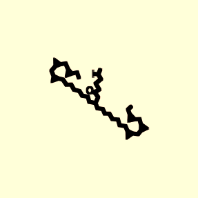 CCC1CC1CC1CC1CC1CC1CCCCCCCCC(CCCCCCCCC1CC1CC1CC1CC1CC1CC)CC(=O)CCCC(C)I